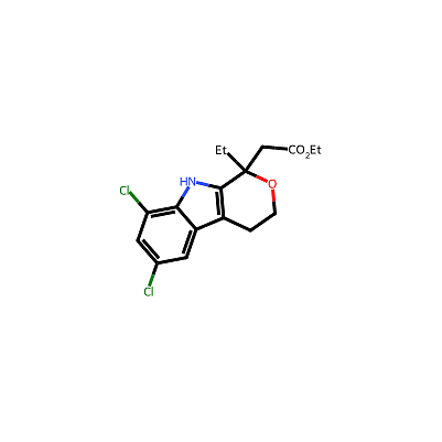 CCOC(=O)CC1(CC)OCCc2c1[nH]c1c(Cl)cc(Cl)cc21